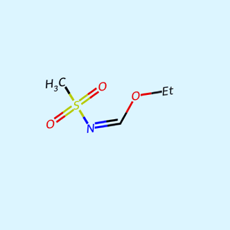 CCO/C=N\S(C)(=O)=O